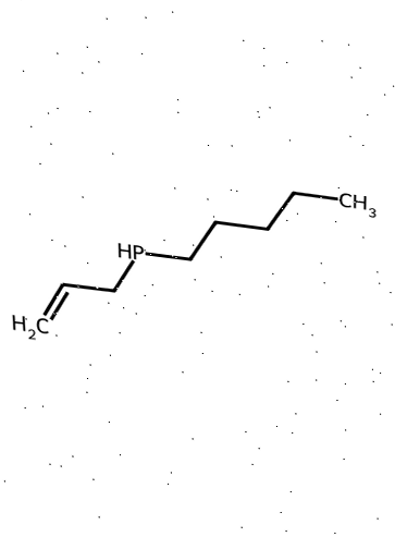 C=CCPCCCCC